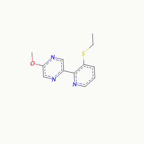 CCSc1cccnc1-c1cnc(OC)cn1